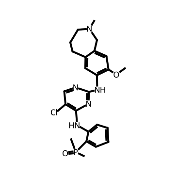 COc1cc2c(cc1Nc1ncc(Cl)c(Nc3ccccc3P(C)(C)=O)n1)CCCN(C)C2